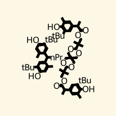 CCCC(c1cc(C(C)(C)C)c(O)cc1C)c1cc(C(C)(C)C)c(O)cc1C.Cc1cc(C(C)C(=O)OCC(C)(C)C2OCC3(CO2)COC(C(C)(C)COC(=O)C(C)c2cc(C)c(O)c(C(C)(C)C)c2)OC3)cc(C(C)(C)C)c1O